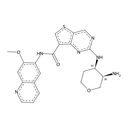 COc1cc2ncccc2cc1NC(=O)c1csc2cnc(N[C@@H]3CCOC[C@@H]3N)nc12